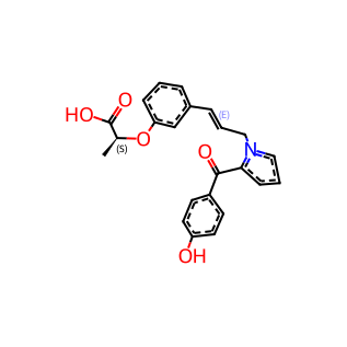 C[C@H](Oc1cccc(/C=C/Cn2cccc2C(=O)c2ccc(O)cc2)c1)C(=O)O